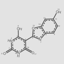 O=c1[nH]c(O)c(-c2nc3ccc(O)cc3o2)c(=O)[nH]1